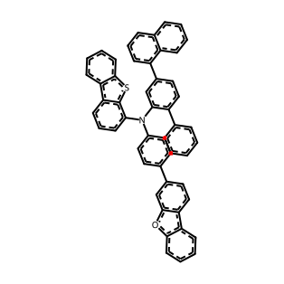 c1ccc(-c2ccc(-c3cccc4ccccc34)cc2N(c2ccc(-c3ccc4c(c3)oc3ccccc34)cc2)c2cccc3c2sc2ccccc23)cc1